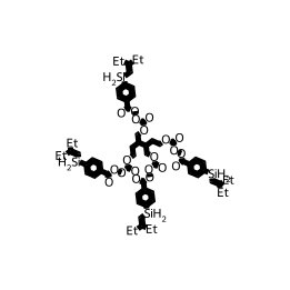 CCC(=C[SiH2]c1ccc(C(=O)OOC(=O)OCCC(COC(=O)OOC(=O)c2ccc([SiH2]C=C(CC)CC)cc2)C(CCOC(=O)OOC(=O)c2ccc([SiH2]C=C(CC)CC)cc2)COC(=O)OOC(=O)c2ccc([SiH2]C=C(CC)CC)cc2)cc1)CC